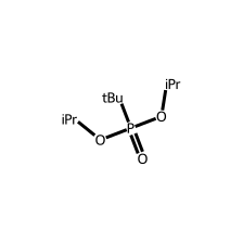 CC(C)OP(=O)(OC(C)C)C(C)(C)C